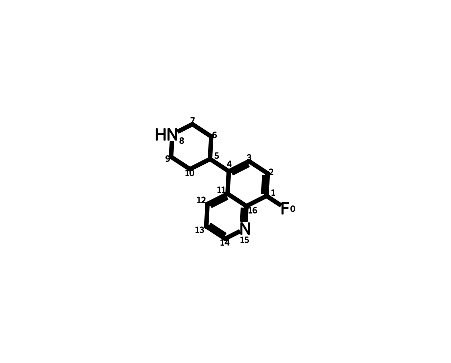 Fc1ccc(C2CCNCC2)c2cccnc12